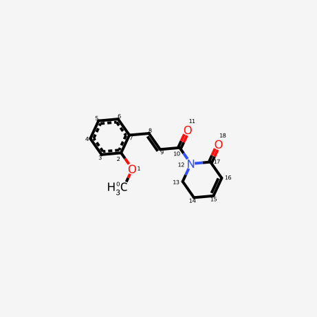 COc1ccccc1C=CC(=O)N1CCC=CC1=O